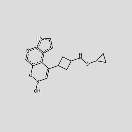 OB1C=C(C2CC(NSC3CC3)C2)c2c(cnc3[nH]ccc23)O1